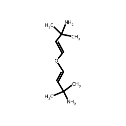 CC(C)(N)C=COC=CC(C)(C)N